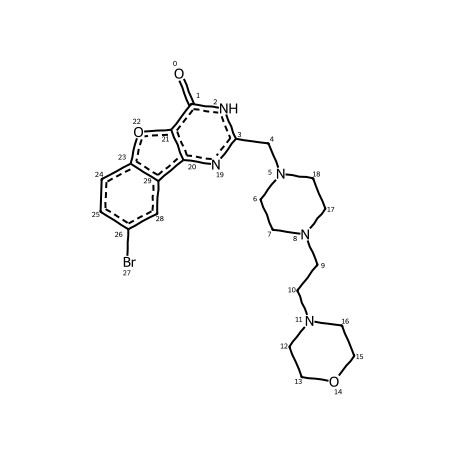 O=c1[nH]c(CN2CCN(CCN3CCOCC3)CC2)nc2c1oc1ccc(Br)cc12